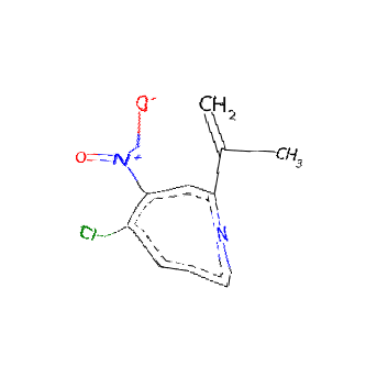 C=C(C)c1nccc(Cl)c1[N+](=O)[O-]